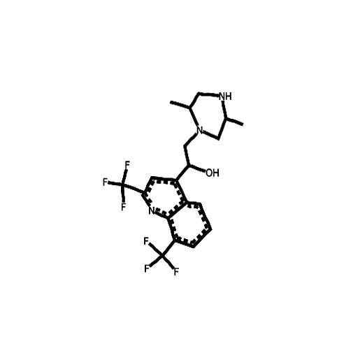 CC1CN(CC(O)c2cc(C(F)(F)F)nc3c(C(F)(F)F)cccc23)C(C)CN1